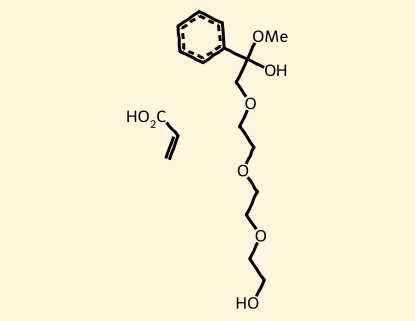 C=CC(=O)O.COC(O)(COCCOCCOCCO)c1ccccc1